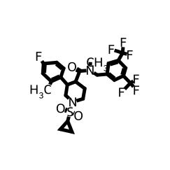 Cc1cc(F)ccc1C1CN(S(=O)(=O)C2CC2)CCC1C(=O)N(C)Cc1cc(C(F)(F)F)cc(C(F)(F)F)c1